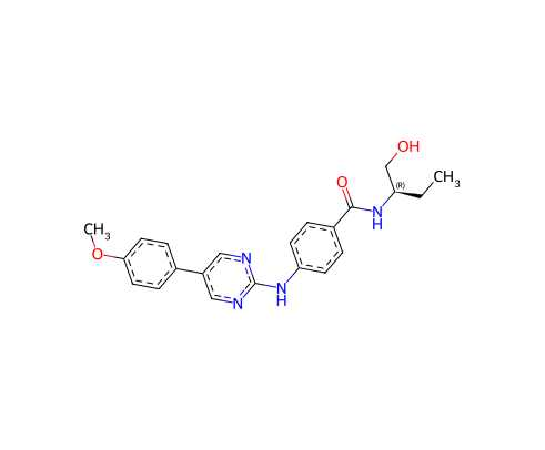 CC[C@H](CO)NC(=O)c1ccc(Nc2ncc(-c3ccc(OC)cc3)cn2)cc1